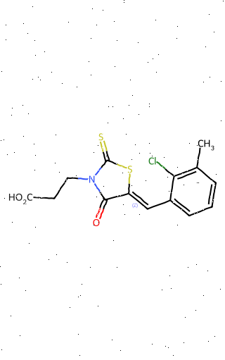 Cc1cccc(/C=C2\SC(=S)N(CCC(=O)O)C2=O)c1Cl